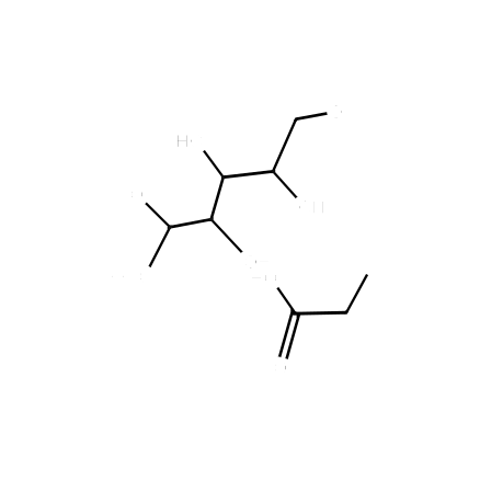 CCC(=O)O.O=CC(O)C(O)C(O)C(O)CO